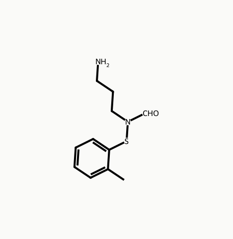 Cc1ccccc1SN(C=O)CCCN